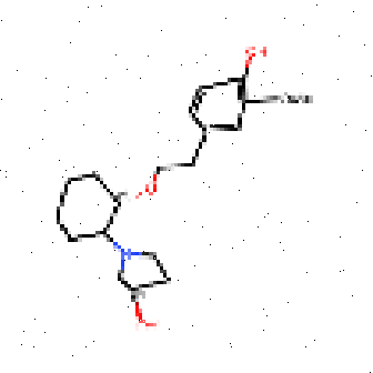 COc1cc(CCO[C@H]2CCCCC2N2CC[C@@H](O)C2)ccc1O